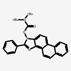 CCCCN(CCCC)C(=O)On1c(-c2ccccc2)nc2c3ccc4ccccc4c3ccc21